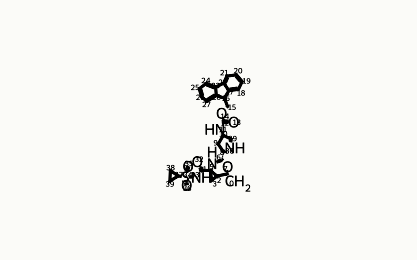 C=CC1CC1(NC(=O)[C@@H]1C[C@@H](NC(=O)OCC2c3ccccc3-c3ccccc32)CN1)C(=O)NS(=O)(=O)C1CC1